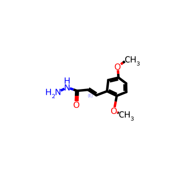 COc1ccc(OC)c(/C=C/C(=O)NN)c1